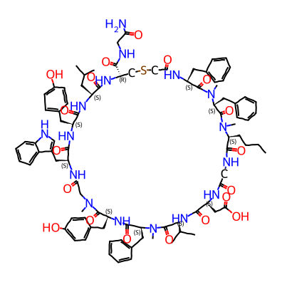 CCCC[C@H]1C(=O)NCC(=O)N[C@@H](CC(=O)O)C(=O)N[C@@H](C(C)C)C(=O)N(C)[C@@H](Cc2ccccc2)C(=O)N[C@@H](Cc2ccc(O)cc2)C(=O)N(C)CC(=O)N[C@@H](Cc2c[nH]c3ccccc23)C(=O)N[C@@H](Cc2ccc(O)cc2)C(=O)N[C@@H](CC(C)C)C(=O)N[C@H](C(=O)NCC(N)=O)CSCC(=O)N[C@@H](Cc2ccccc2)C(=O)N(C)[C@@H](Cc2ccccc2)C(=O)N1C